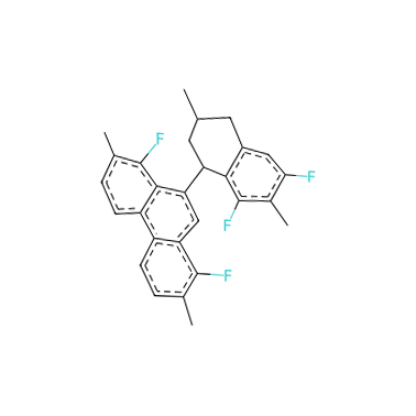 Cc1ccc2c(cc(C3CC(C)Cc4cc(F)c(C)c(F)c43)c3c(F)c(C)ccc32)c1F